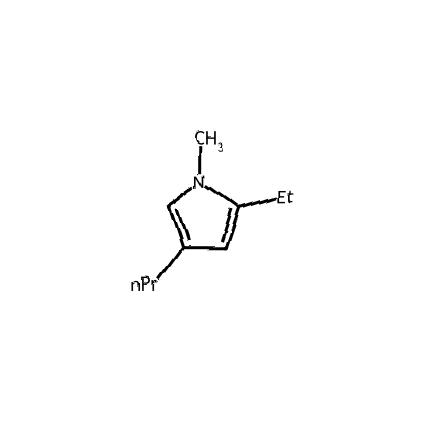 CCCc1cc(CC)n(C)c1